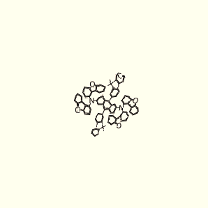 CC1(C)c2ccccc2-c2ccc(-c3c4ccc(N(c5cccc6oc7ccccc7c56)c5cccc6oc7ccccc7c56)cc4c(-c4ccc5c(c4)C(C)(C)c4ccccc4-5)c4ccc(N(c5cccc6oc7ccccc7c56)c5cccc6oc7ccccc7c56)cc34)cc21